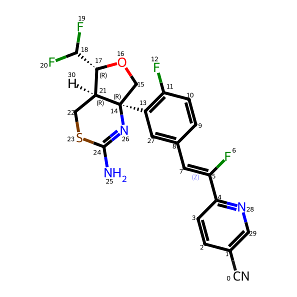 N#Cc1ccc(/C(F)=C/c2ccc(F)c([C@@]34CO[C@@H](C(F)F)[C@@H]3CSC(N)=N4)c2)nc1